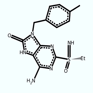 CC[S@](=N)(=O)c1nc(N)c2[nH]c(=O)n(Cc3ccc(C)cc3)c2n1